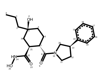 CCC[C@]1(O)CC[C@H](C(=O)N2CC[C@H](c3ccccc3)C2)[C@@H](C(=O)NO)C1